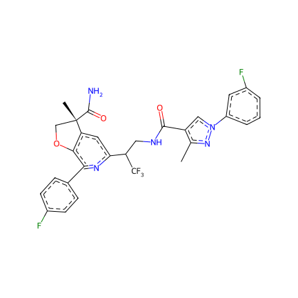 Cc1nn(-c2cccc(F)c2)cc1C(=O)NCC(c1cc2c(c(-c3ccc(F)cc3)n1)OC[C@]2(C)C(N)=O)C(F)(F)F